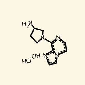 Cl.Cl.NC1CCN(c2nccn3ccnc23)C1